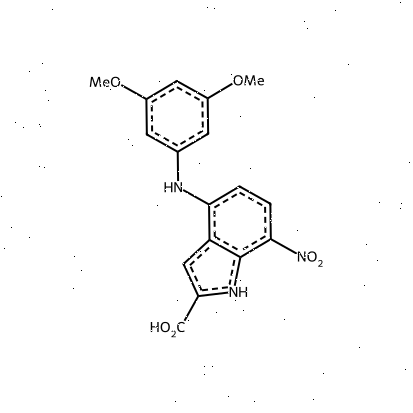 COc1cc(Nc2ccc([N+](=O)[O-])c3[nH]c(C(=O)O)cc23)cc(OC)c1